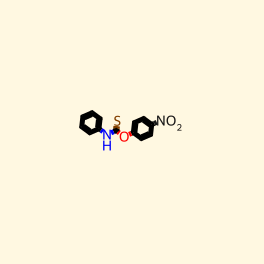 O=[N+]([O-])c1ccc(OC(=S)Nc2ccccc2)cc1